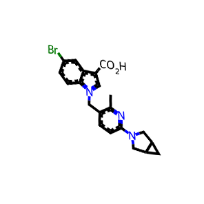 Cc1nc(N2CC3CC3C2)ccc1Cn1cc(C(=O)O)c2cc(Br)ccc21